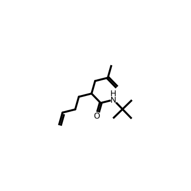 C=CCCC(CC(=C)C)C(=O)NC(C)(C)C